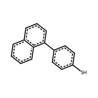 Sc1ccc(-c2cccc3ccccc23)cc1